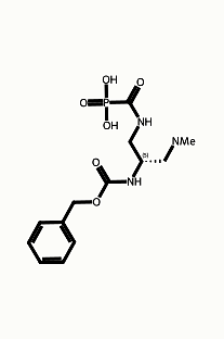 CNC[C@@H](CNC(=O)P(=O)(O)O)NC(=O)OCc1ccccc1